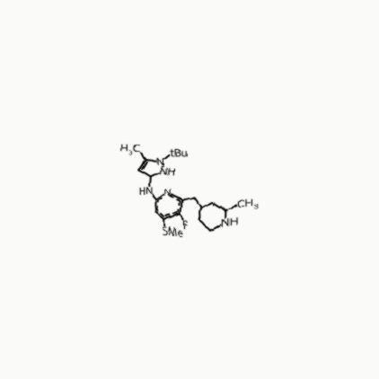 CSc1cc(NC2C=C(C)N(C(C)(C)C)N2)nc(CC2CCN[C@H](C)C2)c1F